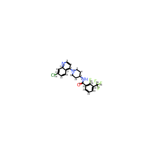 O=C(NC1CCN(c2ccnc3cc(Cl)ccc23)CC1)c1cccc(C(F)(F)F)c1F